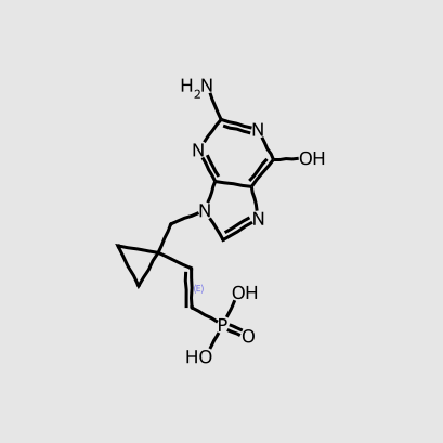 Nc1nc(O)c2ncn(CC3(/C=C/P(=O)(O)O)CC3)c2n1